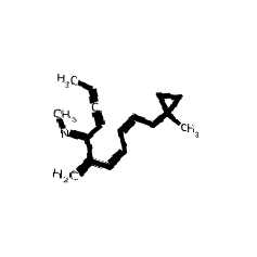 C=C(/C=C\C=C/CC1(C)CC1)/C(C=C=CC)=N/C